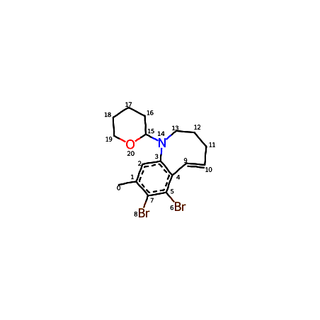 Cc1cc2c(c(Br)c1Br)/C=C/CCCN2C1CCCCO1